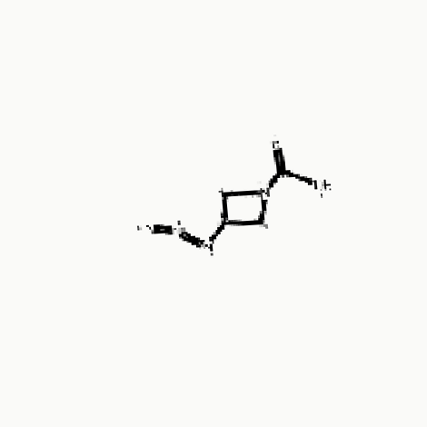 [N-]=[N+]=NC1CN(C(=O)O)C1